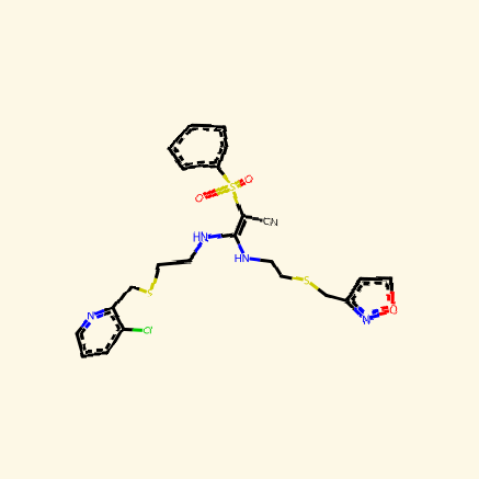 N#CC(=C(NCCSCc1ccon1)NCCSCc1ncccc1Cl)S(=O)(=O)c1ccccc1